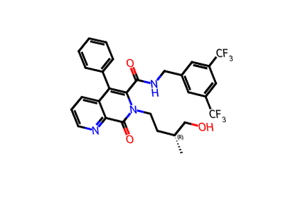 C[C@@H](CO)CCn1c(C(=O)NCc2cc(C(F)(F)F)cc(C(F)(F)F)c2)c(-c2ccccc2)c2cccnc2c1=O